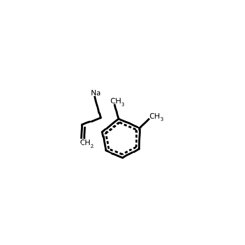 C=C[CH2][Na].Cc1ccccc1C